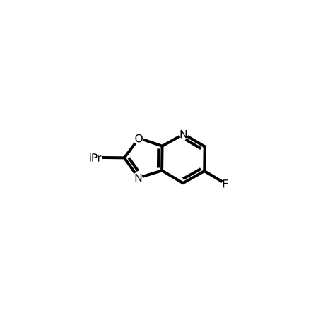 CC(C)c1nc2cc(F)cnc2o1